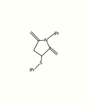 C=C1CC(SC(C)C)C(=C)N1C(C)C